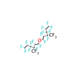 FC(F)=C(F)C(F)(F)C(F)(C(F)=C(F)OC(F)=C(F)C(F)(C(F)(F)F)C(F)(F)C(F)=C(F)F)C(F)(F)F